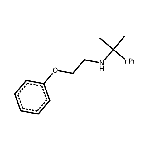 CCCC(C)(C)NCCOc1ccccc1